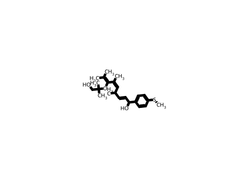 CSc1ccc(C(O)/C=C/C(C)/C=C(/C)C(OC(C)(C)CO)=C(C)C)cc1